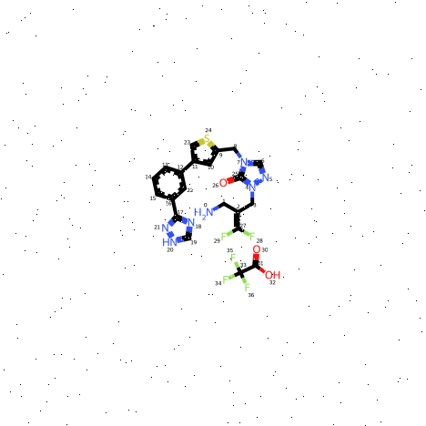 NCC(Cn1ncn(Cc2cc(-c3cccc(-c4nc[nH]n4)c3)cs2)c1=O)=C(F)F.O=C(O)C(F)(F)F